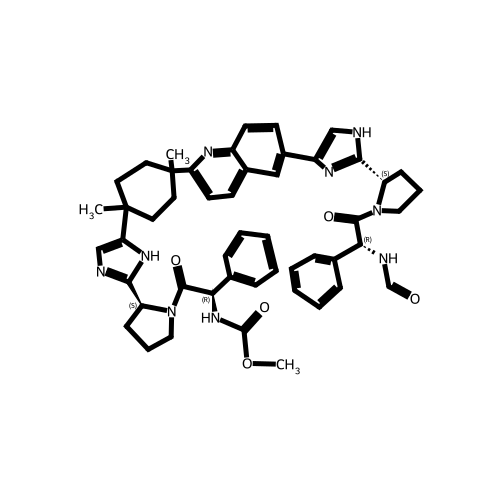 COC(=O)N[C@@H](C(=O)N1CCC[C@H]1c1ncc(C2(C)CCC(C)(c3ccc4cc(-c5c[nH]c([C@@H]6CCCN6C(=O)[C@H](NC=O)c6ccccc6)n5)ccc4n3)CC2)[nH]1)c1ccccc1